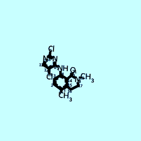 Cc1ccc(Nc2nc(Cl)ncc2Cl)c2c1CCN(C)C2=O